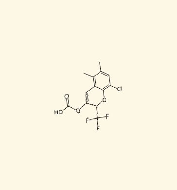 Cc1cc(Cl)c2c(c1C)C=C(OC(=O)O)C(C(F)(F)F)O2